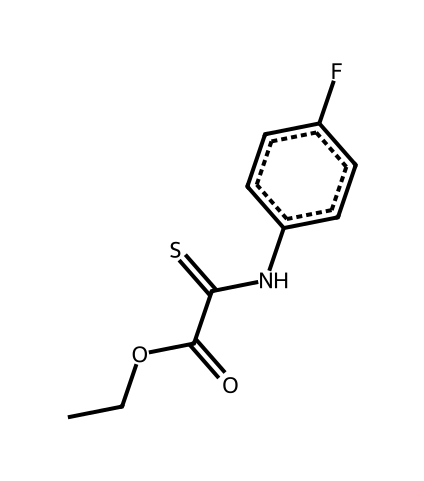 CCOC(=O)C(=S)Nc1ccc(F)cc1